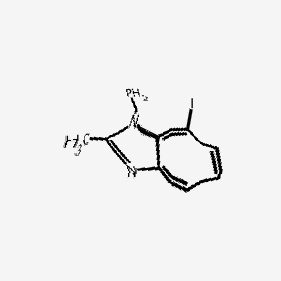 Cc1nc2cccc(I)c2n1P